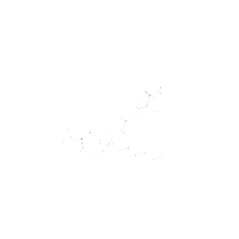 CCCCCCN([S+]([O-])N(C)C(=O)ON=C(SC)C(=O)N(C)C)P1(=S)OCC(C)(C)CO1